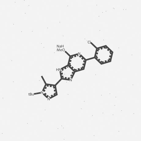 COc1nc(-c2ccccc2Cl)cc2nc(-c3cnn(C(C)(C)C)c3C)[nH]c12.[NaH]